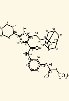 O=C(O)CC(=O)Nc1cccc(NC(=O)c2nc(C3CCCCC3)[nH]c2CCC23CC4CC(CC(C4)C2)C3)c1